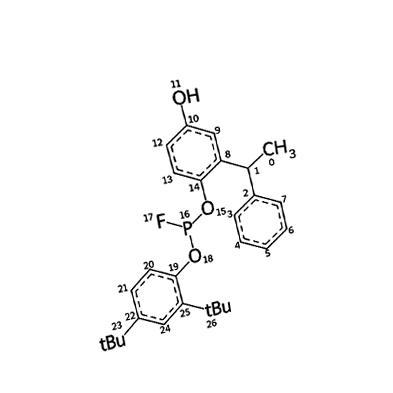 CC(c1ccccc1)c1cc(O)ccc1OP(F)Oc1ccc(C(C)(C)C)cc1C(C)(C)C